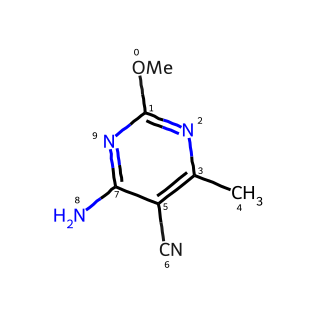 COc1nc(C)c(C#N)c(N)n1